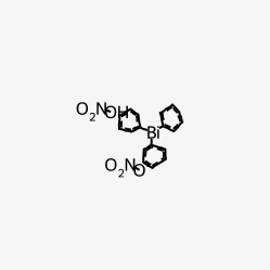 O=[N+]([O-])O.O=[N+]([O-])[O-].c1cc[c]([Bi]([c]2ccccc2)[c]2ccccc2)cc1